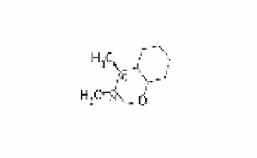 C[C@@H]1COC2CCCCC2[C@@H]1C